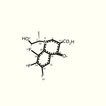 C[C@@H](CO)n1cc(C(=O)O)c(=O)c2cc(F)c(F)c(F)c21